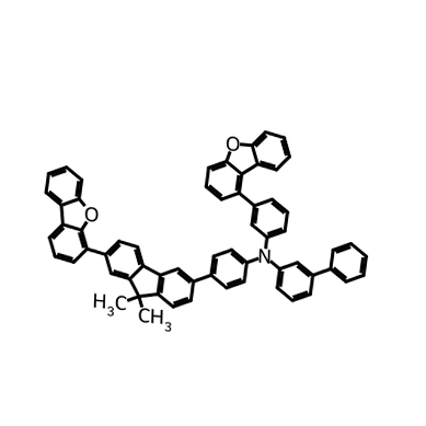 CC1(C)c2ccc(-c3ccc(N(c4cccc(-c5ccccc5)c4)c4cccc(-c5cccc6oc7ccccc7c56)c4)cc3)cc2-c2ccc(-c3cccc4c3oc3ccccc34)cc21